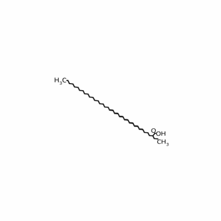 CCCCCCCCCCCCCCCCCCC=CC=CC=CC=CC=CC=CC=CCCCC(CCC)C(=O)O